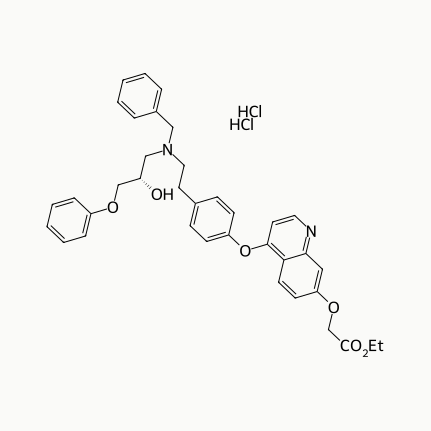 CCOC(=O)COc1ccc2c(Oc3ccc(CCN(Cc4ccccc4)C[C@H](O)COc4ccccc4)cc3)ccnc2c1.Cl.Cl